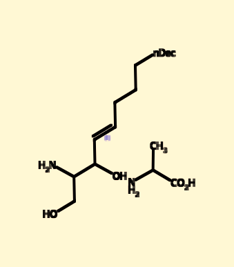 CC(N)C(=O)O.CCCCCCCCCCCCC/C=C/C(O)C(N)CO